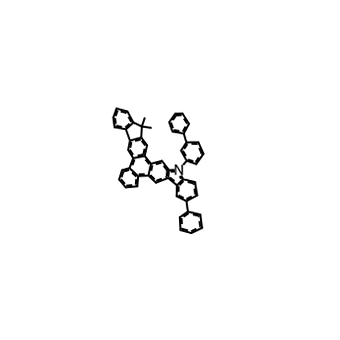 CC1(C)c2ccccc2-c2cc3c4ccccc4c4cc5c6cc(-c7ccccc7)ccc6n(-c6cccc(-c7ccccc7)c6)c5cc4c3cc21